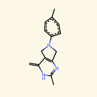 C=C1NC(C)=NC2=C1CN(c1ccc(C)cc1)C2